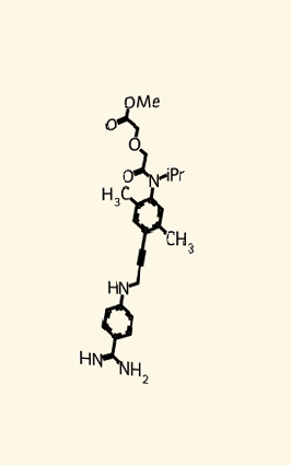 COC(=O)COCC(=O)N(c1cc(C)c(C#CCNc2ccc(C(=N)N)cc2)cc1C)C(C)C